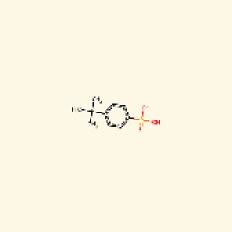 CC(C)(C)c1ccc([PH](O)(O)O)cc1